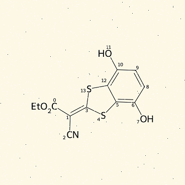 CCOC(=O)C(C#N)=C1Sc2c(O)ccc(O)c2S1